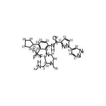 CNC[C@H]1CN(c2c(NC(=O)c3ccn(-c4ccnnc4)n3)ccc(C3CCCC3)c2C(F)(F)F)CCN1C